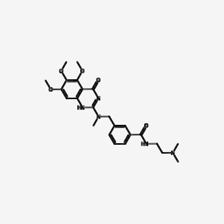 COc1cc2[nH]c(N(C)Cc3cccc(C(=O)NCCN(C)C)c3)nc(=O)c2c(OC)c1OC